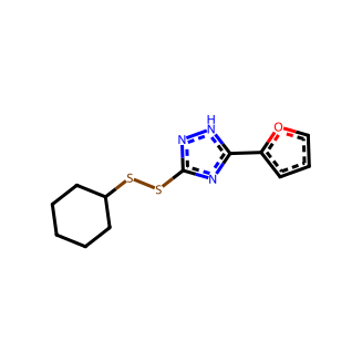 c1coc(-c2nc(SSC3CCCCC3)n[nH]2)c1